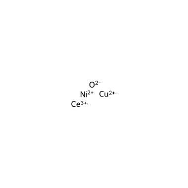 [Ce+3].[Cu+2].[Ni+2].[O-2]